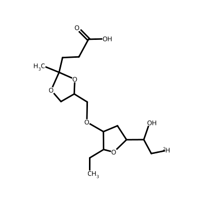 [2H]CC(O)C1CC(OCC2COC(C)(CCC(=O)O)O2)C(CC)O1